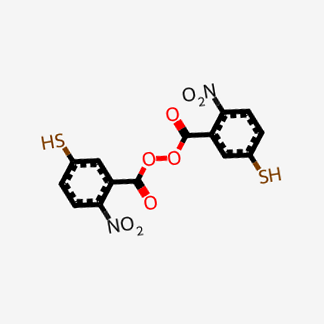 O=C(OOC(=O)c1cc(S)ccc1[N+](=O)[O-])c1cc(S)ccc1[N+](=O)[O-]